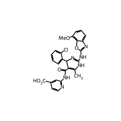 COc1cccc2nc(NC3=NC(c4ccccc4Cl)C(C(=O)Nc4cc(C(=O)O)ccn4)=C(C)N3)oc12